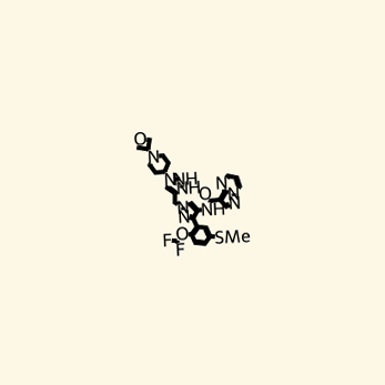 CSc1ccc(OC(F)F)c(-c2nn(CC3=CN(C4CCN(C5COC5)CC4)NN3)cc2NC(=O)c2cnn3cccnc23)c1